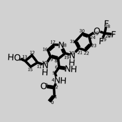 C=CC(=O)NCC(=N)c1c(NC2CC(O)C2)ccnc1Nc1ccc(OC(F)(F)F)cc1